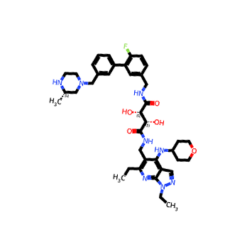 CCc1nc2c(cnn2CC)c(NC2CCOCC2)c1CNC(=O)[C@@H](O)[C@H](O)C(=O)NCc1ccc(F)c(-c2cccc(CN3CCN[C@@H](C)C3)c2)c1